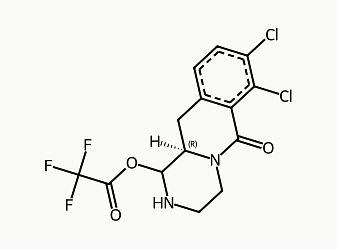 O=C1c2c(ccc(Cl)c2Cl)C[C@@H]2C(OC(=O)C(F)(F)F)NCCN12